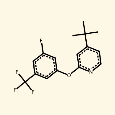 CC(C)(C)c1ccnc(Oc2cc(F)cc(C(F)(F)F)c2)c1